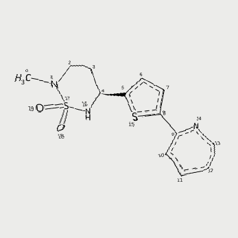 CN1CC[C@@H](c2ccc(-c3ccccn3)s2)NS1(=O)=O